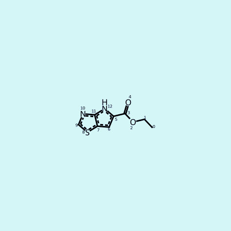 CCOC(=O)c1cc2scnc2[nH]1